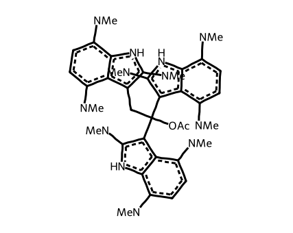 CNc1[nH]c2c(NC)ccc(NC)c2c1CC(OC(C)=O)(c1c(NC)[nH]c2c(NC)ccc(NC)c12)c1c(NC)[nH]c2c(NC)ccc(NC)c12